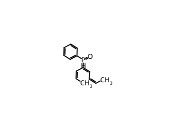 C\C=C/C=C(\C=C/C)[PH](=O)c1ccccc1